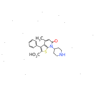 Cc1cc(=O)n(C2CCNCC2)c2sc(C(=O)O)c(-c3ccccc3)c12